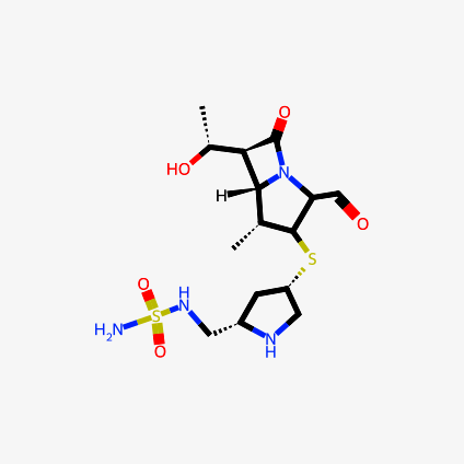 C[C@@H](O)[C@H]1C(=O)N2C(C=O)C(S[C@@H]3CN[C@H](CNS(N)(=O)=O)C3)[C@H](C)[C@H]12